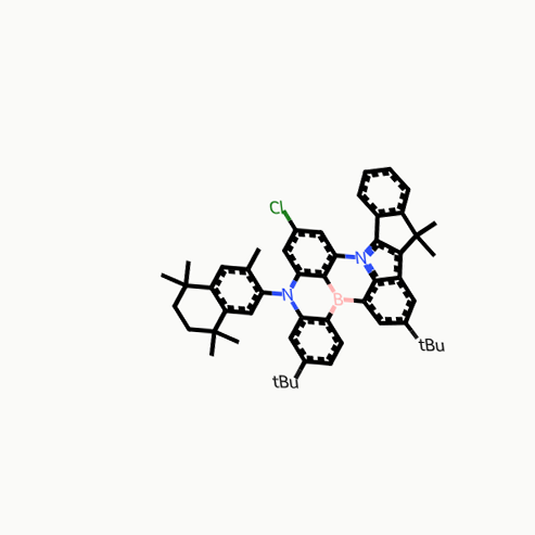 Cc1cc2c(cc1N1c3cc(C(C)(C)C)ccc3B3c4c1cc(Cl)cc4-n1c4c(c5cc(C(C)(C)C)cc3c51)C(C)(C)c1ccccc1-4)C(C)(C)CCC2(C)C